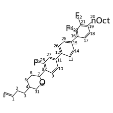 C=CCCC1CCC(c2ccc(-c3ccc(-c4ccc(CCCCCCCC)c(F)c4F)cc3)cc2F)OC1